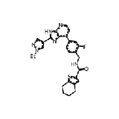 CCn1cc(-c2nc3c(-c4ccc(CNC(=O)c5cc6c(s5)CCCC6)c(F)c4)ccnc3[nH]2)cn1